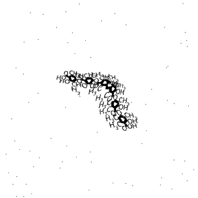 Cc1c(O)c(Cc2c(C)c(C(=O)Oc3c(C)c(C)c(C(=O)Oc4c(C)c(C)c(C(=O)O)c(O)c4C)c(O)c3C)c(O)c(C)c2O)c(C)c(C(=O)Oc2c(C)c(C)c(C(=O)Oc3c(C)c(C)c(C(=O)O)c(O)c3C)c(O)c2C)c1O